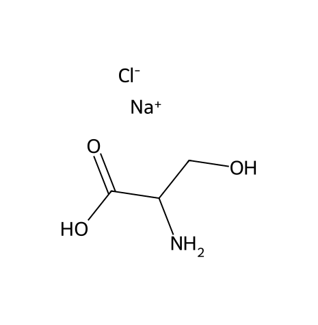 NC(CO)C(=O)O.[Cl-].[Na+]